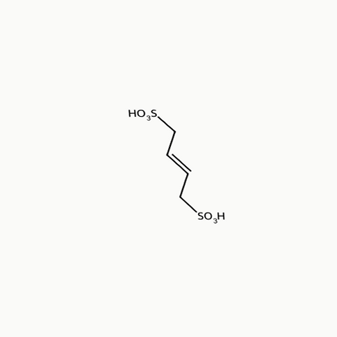 O=S(=O)(O)CC=CCS(=O)(=O)O